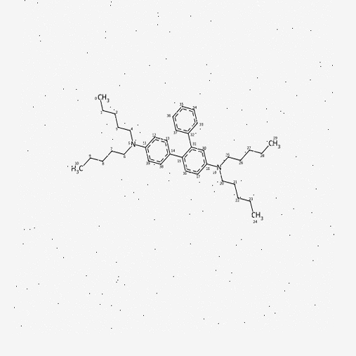 CCCCCN(CCCCC)c1ccc(-c2ccc(N(CCCCC)CCCCC)cc2-c2ccccc2)cc1